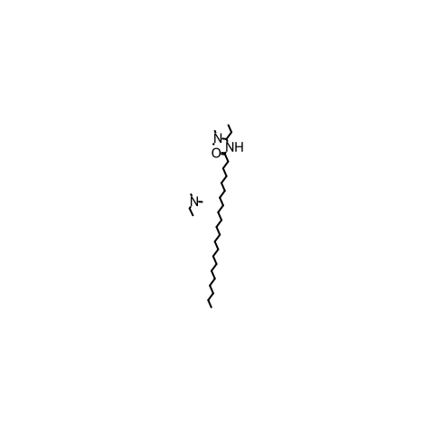 CCCCCCCCCCCCCCCCCCCCCC(=O)NC(CC)N(C)C.CCN(C)C